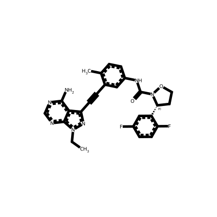 CCn1nc(C#Cc2cc(NC(=O)N3OCC[C@@H]3c3cc(F)ccc3F)ccc2C)c2c(N)ncnc21